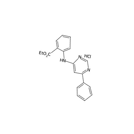 CCOC(=O)c1ccccc1Nc1cc(-c2ccccc2)ncn1.Cl